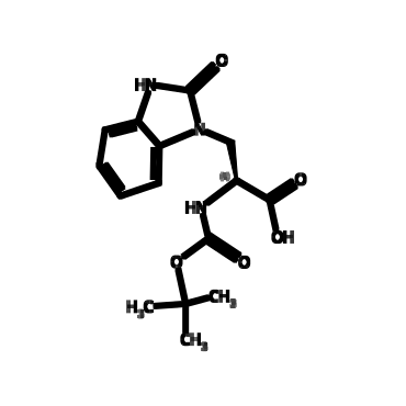 CC(C)(C)OC(=O)N[C@@H](Cn1c(=O)[nH]c2ccccc21)C(=O)O